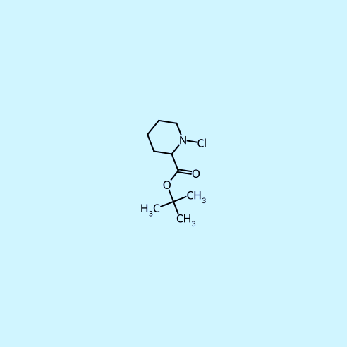 CC(C)(C)OC(=O)C1CCCCN1Cl